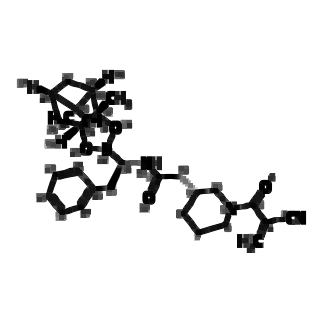 C=C(C#N)C(=O)N1CCC[C@H](CC(=O)N[C@@H](Cc2ccccc2)B2O[C@@H]3C[C@@H]4C[C@@H](C4(C)C)[C@]3(C)O2)C1